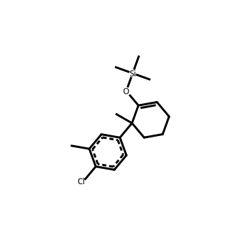 Cc1cc(C2(C)CCCC=C2O[Si](C)(C)C)ccc1Cl